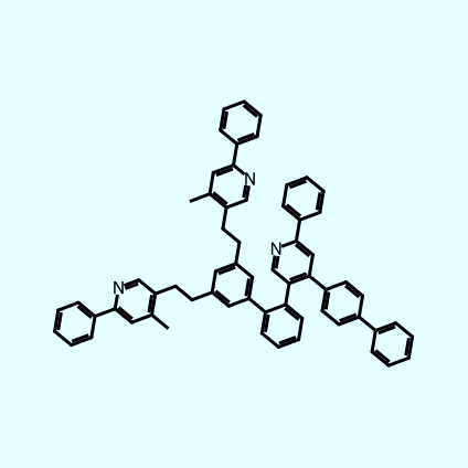 Cc1cc(-c2ccccc2)ncc1CCc1cc(CCc2cnc(-c3ccccc3)cc2C)cc(-c2ccccc2-c2cnc(-c3ccccc3)cc2-c2ccc(-c3ccccc3)cc2)c1